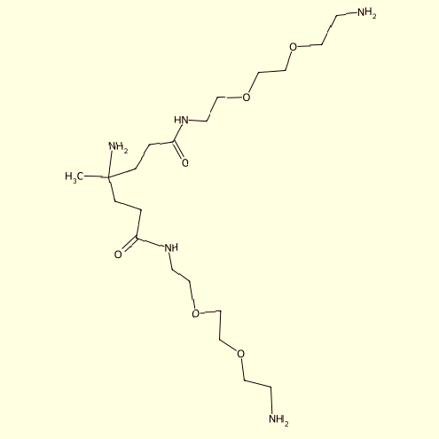 CC(N)(CCC(=O)NCCOCCOCCN)CCC(=O)NCCOCCOCCN